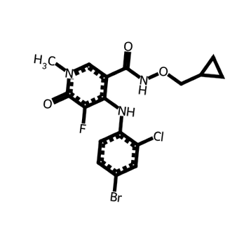 Cn1cc(C(=O)NOCC2CC2)c(Nc2ccc(Br)cc2Cl)c(F)c1=O